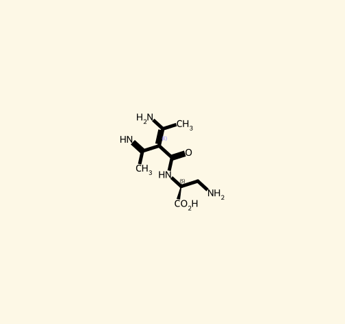 CC(=N)/C(C(=O)N[C@@H](CN)C(=O)O)=C(/C)N